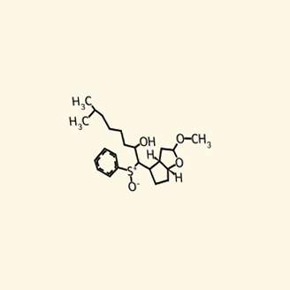 COC1C[C@H]2C(C(C(O)CCCCC(C)C)[S+]([O-])c3ccccc3)CC[C@H]2O1